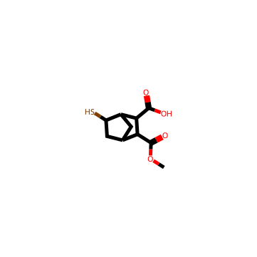 COC(=O)C1C2CC(S)C(C2)C1C(=O)O